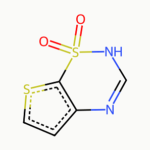 O=S1(=O)NC=Nc2ccsc21